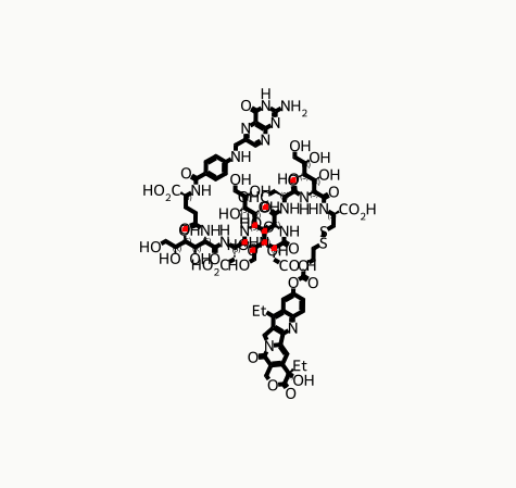 CCc1c2c(nc3ccc(OC(=O)OCCSSC[C@@H](NC(=O)[C@@H](NC(=O)[C@H](CC=O)NC(=O)[C@@H](NC(=O)[C@H](CC(=O)O)NC(=O)[C@@H](NC(=O)[C@H](CC(=O)O)NC(=O)[C@@H](NC(=O)CC[C@H](NC(=O)c4ccc(NCc5cnc6nc(N)[nH]c(=O)c6n5)cc4)C(=O)O)[C@@H](O)[C@H](O)[C@H](O)CO)[C@@H](O)[C@H](O)[C@H](O)CO)[C@@H](O)[C@H](O)[C@H](O)CO)[C@@H](O)[C@H](O)[C@H](O)CO)C(=O)O)cc13)-c1cc3c(c(=O)n1C2)COC(=O)[C@]3(O)CC